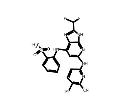 CC(C)c1ccc(Nc2cc(Nc3ccccc3S(C)(=O)=O)c3nc(C(F)F)[nH]c3n2)nc1C#N